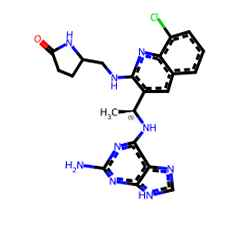 C[C@H](Nc1nc(N)nc2[nH]cnc12)c1cc2cccc(Cl)c2nc1NCC1CCC(=O)N1